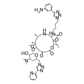 CC[C@H]1OC(=O)[C@H](C)C(=O)[C@H](C)[C@@H](O[C@@H]2OC(Cn3cc(-c4ccccn4)nn3)CC(N(C)C)C2O)[C@](C)(OC)C[C@@H](C)CN[C@H](C)[C@H]2N(CCCCn3cc(-c4cccc(N)c4)nn3)C(=O)O[C@]12C